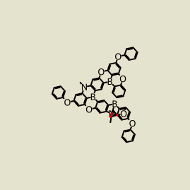 CN1c2cc3c(cc2B2c4cc5c(cc4Oc4cc(Oc6ccccc6)cc1c42)N(C)c1cc(Oc2ccccc2)cc2c1B5c1ccccc1O2)B1c2ccccc2Oc2cc(Oc4ccccc4)cc(c21)O3